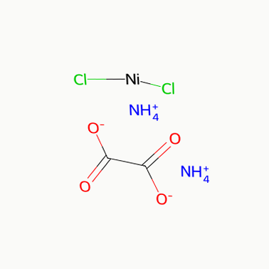 O=C([O-])C(=O)[O-].[Cl][Ni][Cl].[NH4+].[NH4+]